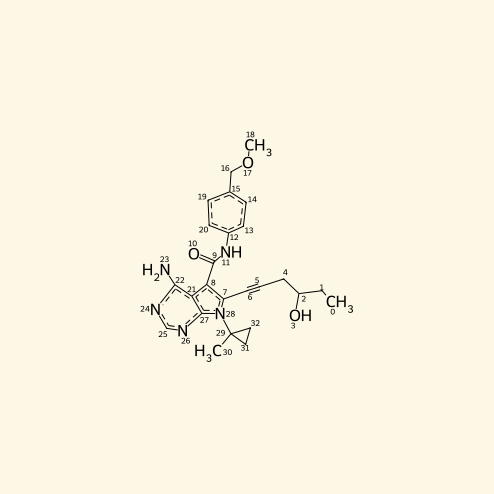 CCC(O)CC#Cc1c(C(=O)Nc2ccc(COC)cc2)c2c(N)ncnc2n1C1(C)CC1